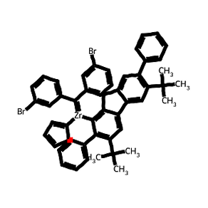 CC(C)(C)c1cc2c(cc1-c1ccccc1)Cc1c-2cc(C(C)(C)C)c(-c2ccccc2)[c]1[Zr]([C]1=CC=CC1)=[C](c1cccc(Br)c1)c1cccc(Br)c1